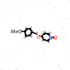 COc1ccc(COc2cc[n+]([O-])cc2)cc1